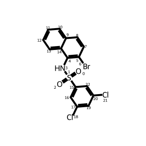 O=S(=O)(Nc1c(Br)ccc2ccccc12)c1cc(Cl)cc(Cl)c1